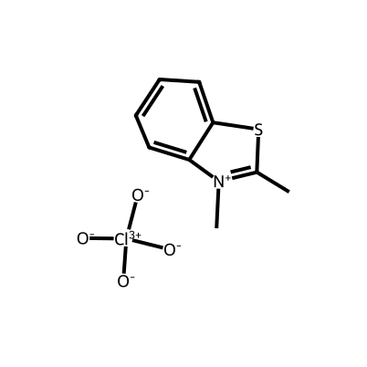 Cc1sc2ccccc2[n+]1C.[O-][Cl+3]([O-])([O-])[O-]